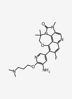 CN(C)CCCOc1ncc(-c2c(F)cc3ncc4c5c3c2OCC(C)(C)n5c(=O)n4C)cc1N